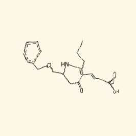 CCCC1=C(C=CC(=O)O)C(=O)CC(COCc2ccccc2)N1